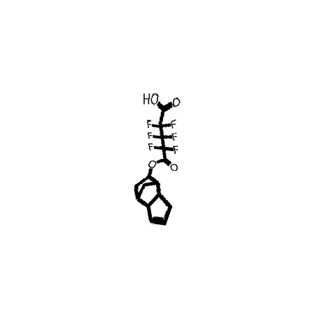 O=C(O)C(F)(F)C(F)(F)C(F)(F)C(=O)OC1CC2CC1C1CC=CC21